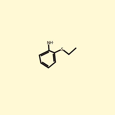 CCSc1ccccc1[NH]